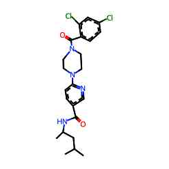 CC(C)CC(C)NC(=O)c1ccc(N2CCN(C(=O)c3ccc(Cl)cc3Cl)CC2)nc1